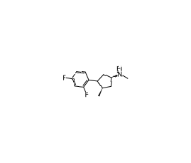 CN[C@@H]1CC(c2ccc(F)cc2F)[C@H](C)C1